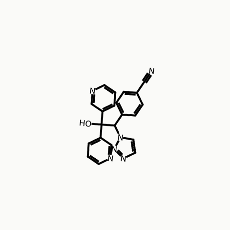 N#Cc1ccc(C(n2ccnn2)C(O)(c2cccnc2)c2cccnc2)cc1